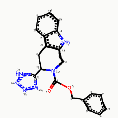 O=C(OCc1ccccc1)N1Cc2[nH]c3ccccc3c2CC1c1nnn[nH]1